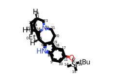 CC[C@H]1C[C@H]2C[C@H]3c4[nH]c5ccc(O[Si](C)(C)C(C)(C)C)cc5c4CCN(C2)C13